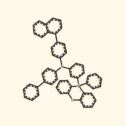 c1ccc(-c2ccc(N(c3ccc(-c4cccc5ccccc45)cc3)c3cccc([Si]4(c5ccccc5)c5ccccc5Oc5ccccc54)c3)cc2)cc1